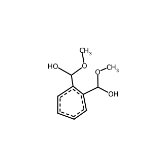 COC(O)c1ccccc1C(O)OC